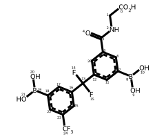 O=C(O)CNC(=O)c1cc(B(O)O)cc(C(F)(F)c2cc(B(O)O)cc(C(F)(F)F)c2)c1